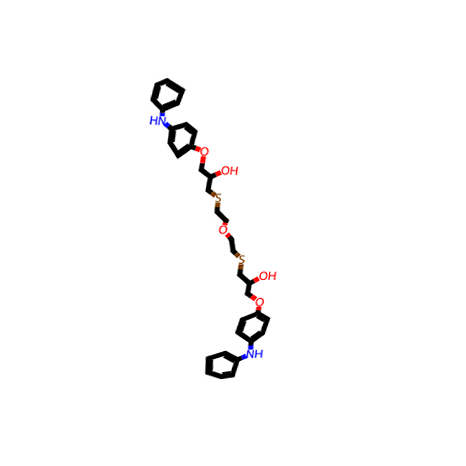 OC(COc1ccc(Nc2ccccc2)cc1)CSCCOCCSCC(O)COc1ccc(Nc2ccccc2)cc1